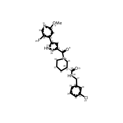 COc1cc(-c2cc(C(=O)N3CCC[C@@H](C(=O)NCc4cccc(Cl)c4)C3)n[nH]2)c(F)cn1